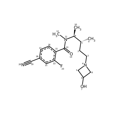 C[C@H](CCN1CC(O)C1)[C@H](C)N(C)C(=O)c1ccc(C#N)cc1F